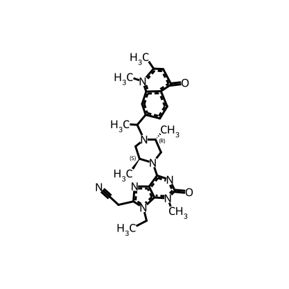 CCn1c(CC#N)nc2c(N3C[C@@H](C)N(C(C)c4ccc5c(=O)cc(C)n(C)c5c4)C[C@@H]3C)nc(=O)n(C)c21